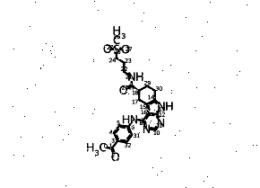 CC(=O)c1ccc(Nc2ncnc3[nH]c4c(c23)C[C@@H](C(=O)NCCCS(C)(=O)=O)CC4)cc1